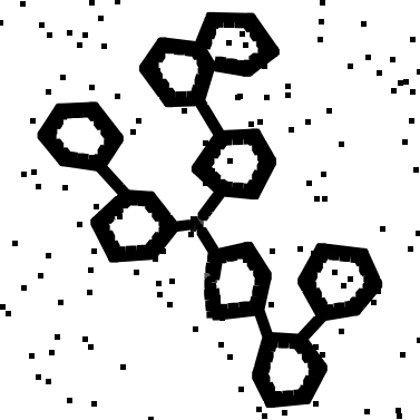 c1ccc(-c2cccc(N(c3ccc(-c4ccccc4-c4ccccc4)cc3)c3cccc(-c4cccc5ccccc45)c3)c2)cc1